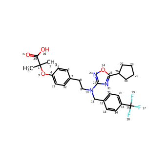 CC(C)(Oc1ccc(CCN(Cc2ccc(C(F)(F)F)cc2)c2noc(C3CCCC3)n2)cc1)C(=O)O